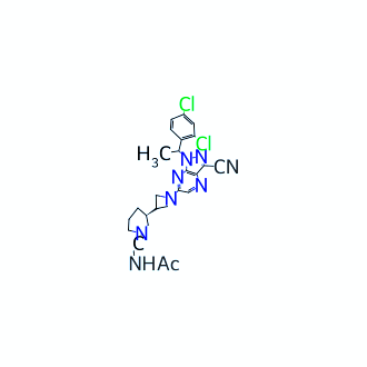 CC(=O)NCCN1CCC[C@@H](C2CN(c3cnc4c(C#N)nn(C(C)c5ccc(Cl)cc5Cl)c4n3)C2)C1